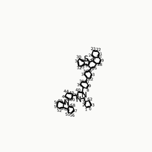 c1ccc(-c2nc(-c3ccc(-c4ccc(-c5cc6ccc7ccccc7c6c6sc7ccccc7c56)cc4)cc3)cc(-c3cccc(-n4c5ccccc5c5ccccc54)c3)n2)cc1